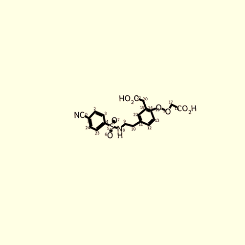 N#Cc1ccc(S(=O)(=O)NCCc2ccc(OOCC(=O)O)c(CC(=O)O)c2)cc1